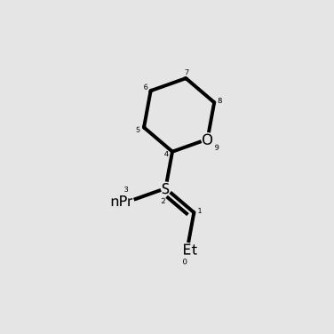 CCC=S(CCC)C1CCCCO1